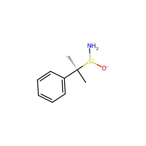 [CH2][C@](C)(c1ccccc1)[S+](N)[O-]